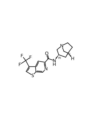 O=C(N[C@@H]1C[C@H]2CCN(C2)C1)c1cc2c(C(F)(F)F)csc2cn1